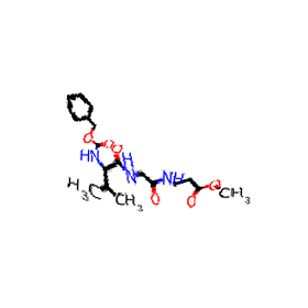 COC(=O)CCNC(=O)CNC(=O)C(NC(=O)OCc1ccccc1)C(C)C